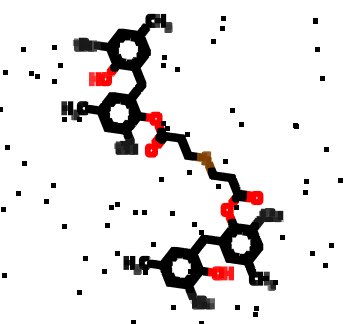 Cc1cc(Cc2cc(C)cc(C(C)(C)C)c2OC(=O)CCSCCC(=O)Oc2c(Cc3cc(C)cc(C(C)(C)C)c3O)cc(C)cc2C(C)(C)C)c(O)c(C(C)(C)C)c1